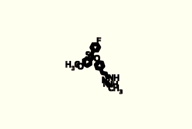 CN/N=N\C(=N)/C=C/c1ccc(Oc2c(-c3ccc(F)cc3)sc3cc(OC)ccc23)cc1